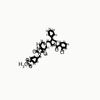 CS(=O)(=O)c1ccc(CN2C(=O)NC3(CCN(CC4CN(C(=O)c5ccccc5Cl)CC4c4ccccc4)CC3)C2=O)cc1